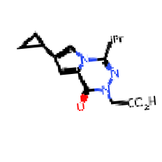 CC(C)c1nn(CC(=O)O)c(=O)c2cc(C3CC3)cn12